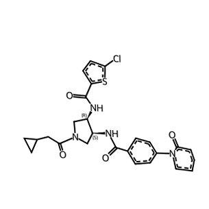 O=C(N[C@H]1CN(C(=O)CC2CC2)C[C@H]1NC(=O)c1ccc(Cl)s1)c1ccc(-n2ccccc2=O)cc1